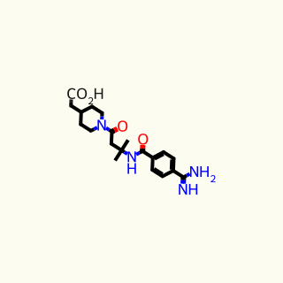 CC(C)(CC(=O)N1CCC(CC(=O)O)CC1)NC(=O)c1ccc(C(=N)N)cc1